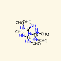 O=C[NH][Ta]([NH]C=O)[N]([Ta]([NH]C=O)[NH]C=O)[Ta]([NH]C=O)[NH]C=O